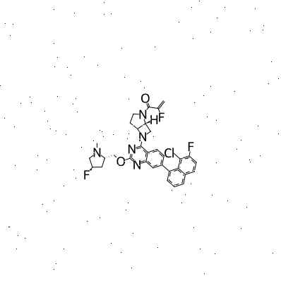 C=C(F)C(=O)N1CCC2[C@H]1CN2c1nc(OC[C@@H]2C[C@@H](F)CN2C)nc2cc(-c3cccc4ccc(F)c(Cl)c34)ccc12